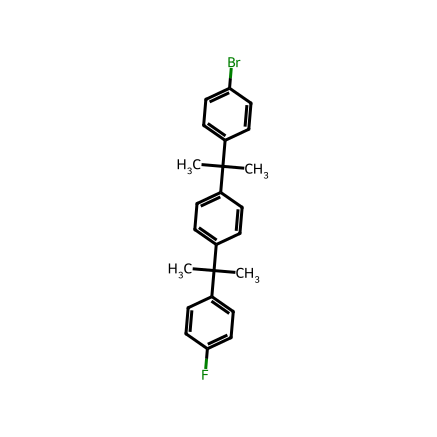 CC(C)(c1ccc(F)cc1)c1ccc(C(C)(C)c2ccc(Br)cc2)cc1